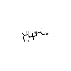 C[C@H](CO)NCC(C)(C)CN[C@H](C)CO